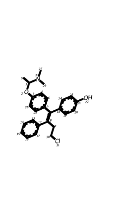 CC(Oc1ccc(/C(=C(/CCCl)c2ccccc2)c2ccc(O)cc2)cc1)N(C)C